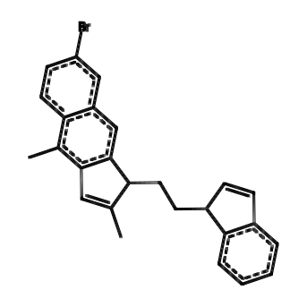 CC1=Cc2c(cc3cc(Br)ccc3c2C)C1CCC1C=Cc2ccccc21